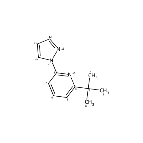 CC(C)(C)c1cccc(-n2cccn2)n1